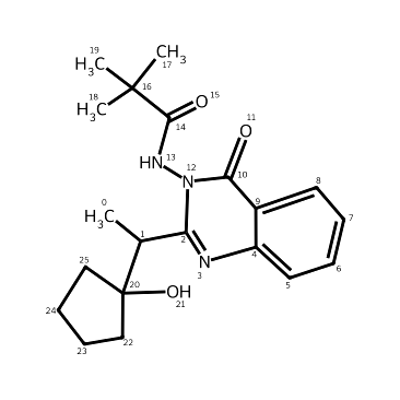 CC(c1nc2ccccc2c(=O)n1NC(=O)C(C)(C)C)C1(O)CCCC1